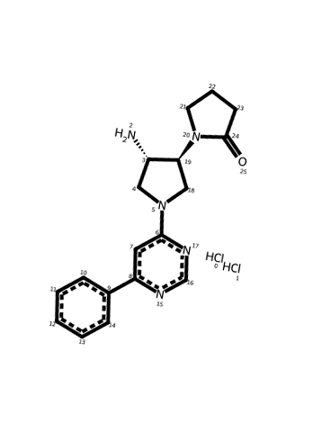 Cl.Cl.N[C@H]1CN(c2cc(-c3ccccc3)ncn2)C[C@@H]1N1CCCC1=O